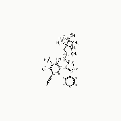 Cc1c(N[C@H]([C@@H](C)CC(C)(C)[Si](C)(C)O)N2CSC(c3ccccc3)=N2)ccc(C#N)c1Cl